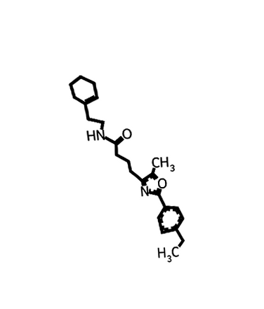 CCc1ccc(-c2nc(CCCC(=O)NCCC3=CCCCC3)c(C)o2)cc1